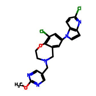 COc1ncc(CN2CCOc3c(Cl)cc(-n4ccc5nc(Cl)ccc54)cc3C2)cn1